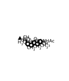 CC(=O)N[C@H]1CC[C@@]2(C)C(CC[C@]3(C)[C@@H]2C(=O)C=C2[C@@H]4C[C@@](C)(C(=O)N(C)OC5CC5)CC[C@]4(C)CC[C@]23C)C1(C)C